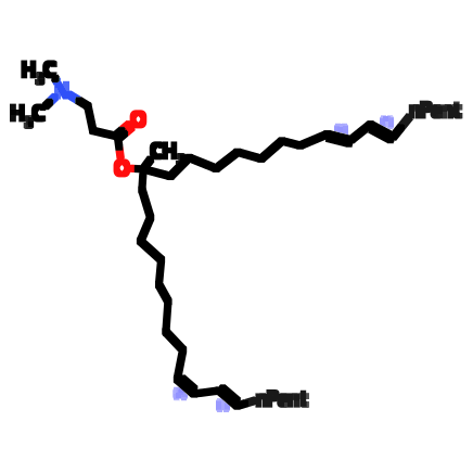 CCCCC/C=C/C=C\CCCCCCCCC(C)(CCCCCCC/C=C/C=C/CCCCC)OC(=O)CCN(C)C